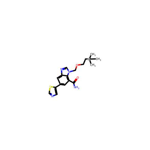 C[Si](C)(C)CCOCn1cnc2cc(-c3cncs3)cc(C(N)=O)c21